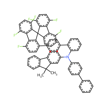 CC1(C)c2ccccc2-c2ccc(N(c3ccc(-c4ccccc4)cc3)c3ccccc3-c3ccc(-c4ccc(F)c5c4C4(c6cccc(F)c6-c6c(F)ccc(F)c64)c4c(F)ccc(F)c4-5)cc3)cc21